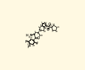 N[C@H]1CC(N2Cc3cnn(S(=O)(=O)C4CCCC4)c3C2)CO[C@@H]1c1cc(F)c(F)cc1F